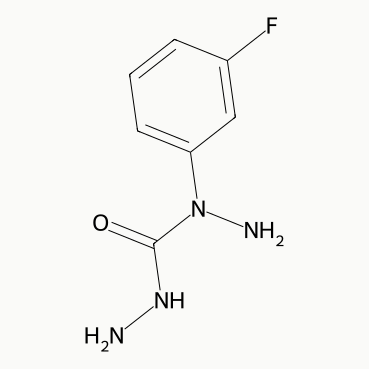 NNC(=O)N(N)c1cccc(F)c1